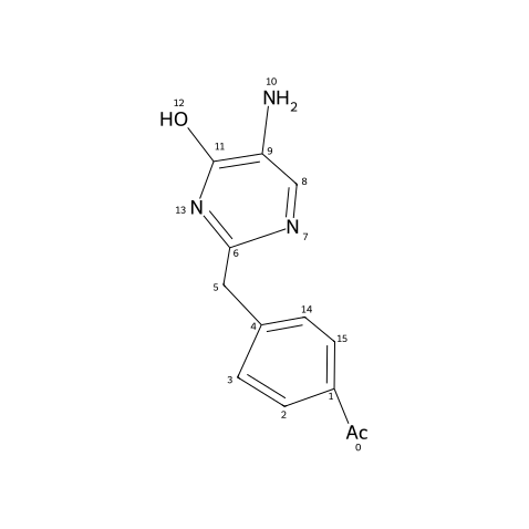 CC(=O)c1ccc(Cc2ncc(N)c(O)n2)cc1